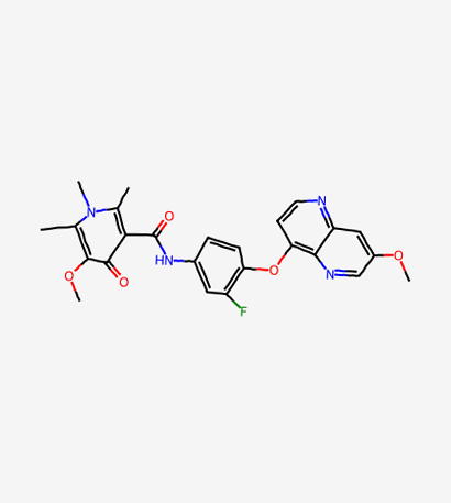 COc1cnc2c(Oc3ccc(NC(=O)c4c(C)n(C)c(C)c(OC)c4=O)cc3F)ccnc2c1